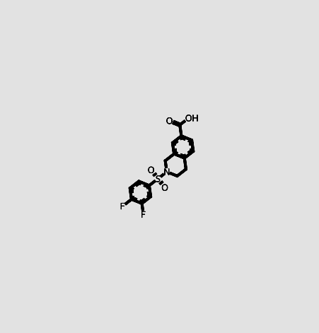 O=C(O)c1ccc2c(c1)CN(S(=O)(=O)c1ccc(F)c(F)c1)CC2